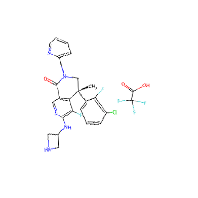 C[C@]1(c2cccc(Cl)c2F)CN(c2ccccn2)C(=O)c2cnc(NC3CNC3)c(F)c21.O=C(O)C(F)(F)F